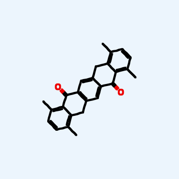 Cc1ccc(C)c2c1Cc1cc3c(cc1C2=O)Cc1c(C)ccc(C)c1C3=O